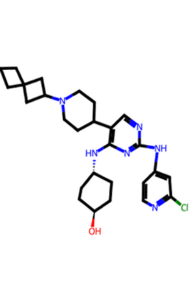 O[C@H]1CC[C@H](Nc2nc(Nc3ccnc(Cl)c3)ncc2C2CCN(C3CC4(CCC4)C3)CC2)CC1